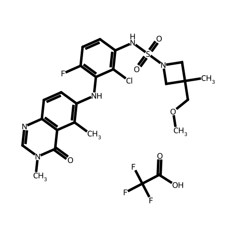 COCC1(C)CN(S(=O)(=O)Nc2ccc(F)c(Nc3ccc4ncn(C)c(=O)c4c3C)c2Cl)C1.O=C(O)C(F)(F)F